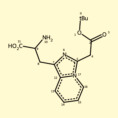 CC(C)(C)OC(=O)Cc1nc(CC(N)C(=O)O)c2ccccn12